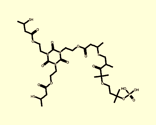 CC(S)CC(=O)OCCn1c(=O)n(CCOC(=O)CC(C)S)c(=O)n(CCOC(=O)CC(C)SCC(C)C(=O)C(C)(C)OCCC(C)(C)OP(=O)(O)O)c1=O